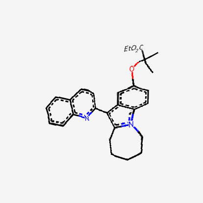 CCOC(=O)C(C)(C)Oc1ccc2c(c1)c(-c1ccc3ccccc3n1)c1n2CCCCC1